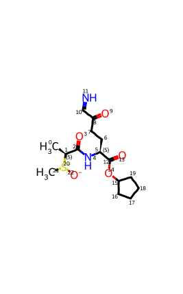 C[C@@H](C(=O)N[C@@H](CCC(=O)C=N)C(=O)OC1CCCC1)[S+](C)[O-]